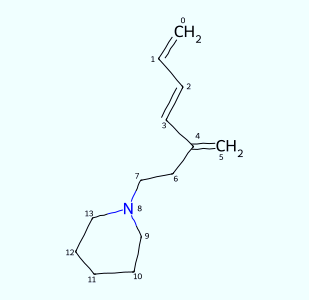 C=CC=CC(=C)CCN1CCCCC1